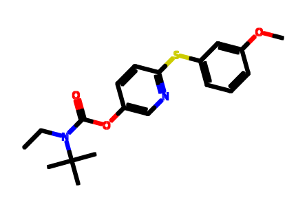 CCN(C(=O)Oc1ccc(Sc2cccc(OC)c2)nc1)C(C)(C)C